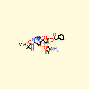 COC(C)(C)C(=O)Nc1ncnn2c([C@]3(C#N)O[C@H](COC(=O)Cc4ccccc4)[C@@H](OC(=O)[C@H](N)C(C)C)[C@H]3O)ccc12